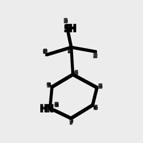 CC(C)(S)C1CCCNC1